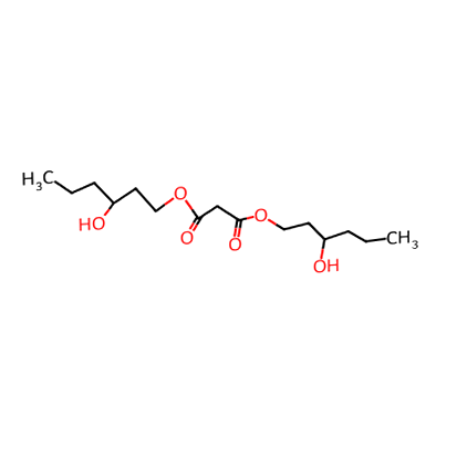 CCCC(O)CCOC(=O)CC(=O)OCCC(O)CCC